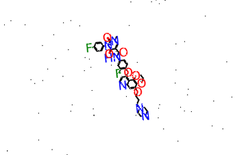 CN1CCN(CCCOc2cc3nccc(Oc4ccc(NC(=O)c5cn(C)c(=O)n(-c6ccc(F)cc6)c5=O)cc4F)c3c3c2OCCO3)CC1